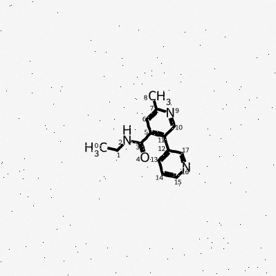 CCNC(=O)c1cc(C)ncc1-c1cccnc1